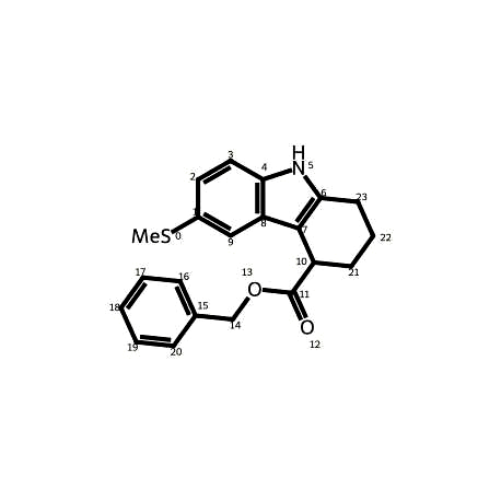 CSc1ccc2[nH]c3c(c2c1)C(C(=O)OCc1ccccc1)CCC3